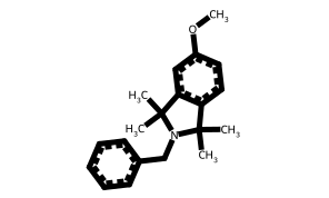 COc1ccc2c(c1)C(C)(C)N(Cc1ccccc1)C2(C)C